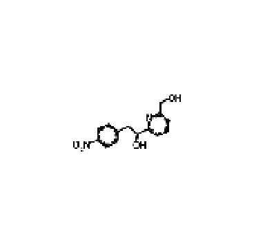 O=[N+]([O-])c1ccc(CC(O)c2cccc(CO)n2)cc1